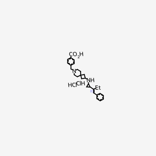 CC/C(=C\c1ccccc1)C1CC1NC1CC2(CCN(Cc3ccc(C(=O)O)cc3)CC2)C1.Cl.Cl